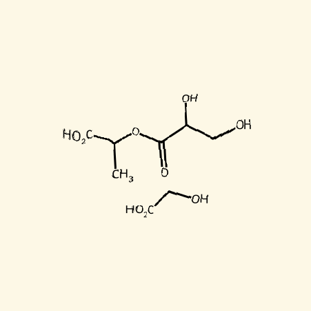 CC(OC(=O)C(O)CO)C(=O)O.O=C(O)CO